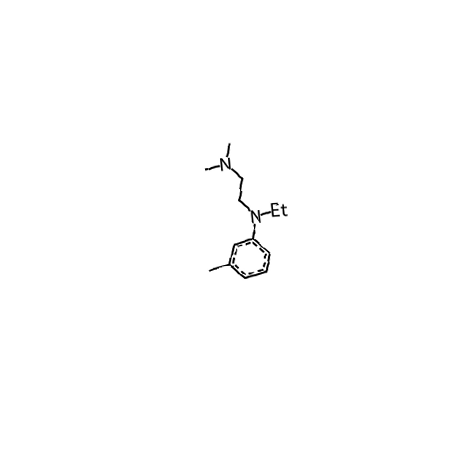 CCN(CCN(C)C)c1cccc(C)c1